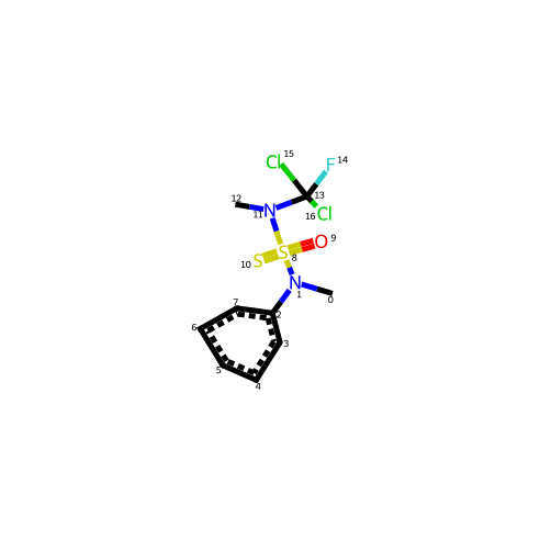 CN(c1ccccc1)S(=O)(=S)N(C)C(F)(Cl)Cl